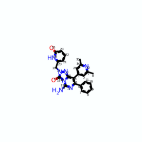 Cc1cc(-c2c(-c3ccccc3)nc(N)n3c(=O)n(Cc4cccc(=O)[nH]4)nc23)cc(C)n1